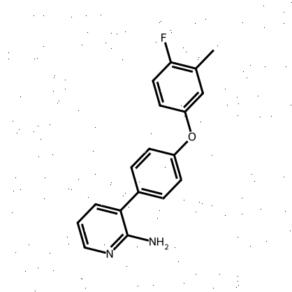 Cc1cc(Oc2ccc(-c3cccnc3N)cc2)ccc1F